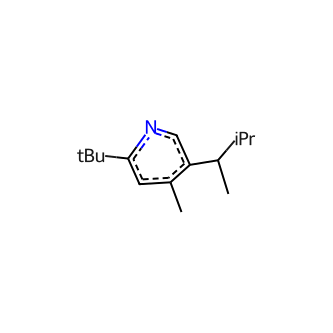 Cc1cc(C(C)(C)C)ncc1C(C)C(C)C